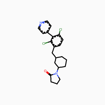 O=C1CCCN1C1CCCC(Cc2ccc(Cl)c(-c3ccncc3)c2Cl)C1